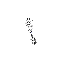 CCc1ccc([C@H]2CC[C@H](/C=C/C#Cc3ccc(C(F)(F)F)c(F)c3)CC2)cc1